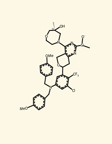 COc1ccc(CN(Cc2ccc(OC)cc2)c2cc(Cl)c(C(F)(F)F)c(C3Cc4nc([S+](C)[O-])nc(N5CCOC[C@@](C)(O)C5)c4CO3)c2)cc1